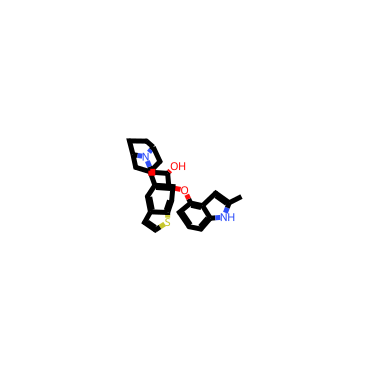 Cc1cc2c(OCC(O)CN3C4CCC3CC(c3ccc5sccc5c3)C4)cccc2[nH]1